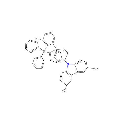 N#Cc1ccc2c(c1)c1cc(C#N)ccc1n2-c1ccc(-c2cccc(C#N)c2[Si](c2ccccc2)(c2ccccc2)c2ccccc2)cc1